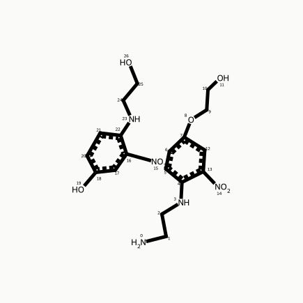 NCCNc1ccc(OCCO)cc1[N+](=O)[O-].O=[N+]([O-])c1cc(O)ccc1NCCO